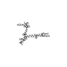 CCCCCCCCC(CCCCCCCC)N(C)C(=O)C(C)(C)CCCCCCOC(=O)[C@@H]1C[C@H](OC(O)CCN(C)C)CN1CCCCCCCC(=O)OCCCC(CCCCC)CCCCC